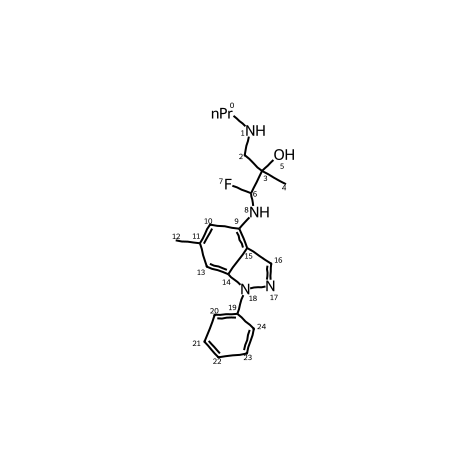 CCCNCC(C)(O)C(F)Nc1cc(C)cc2c1cnn2-c1ccccc1